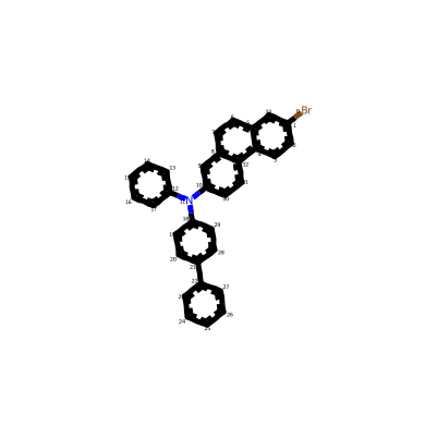 Brc1ccc2c(ccc3cc(N(c4ccccc4)c4ccc(-c5ccccc5)cc4)ccc32)c1